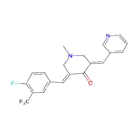 CN1C/C(=C\c2cccnc2)C(=O)/C(=C/c2ccc(F)c(C(F)(F)F)c2)C1